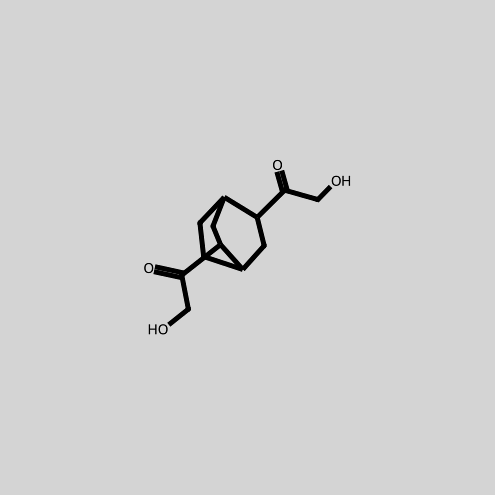 O=C(CO)C1CC2CCC1CC2C(=O)CO